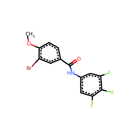 COc1ccc(C(=O)Nc2cc(F)c(F)c(F)c2)cc1Br